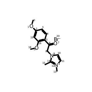 COc1ccc(C(=O)Cn2cc[n+](C)c2C)c(OC)c1.[Br-]